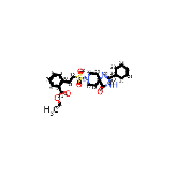 CCOC(=O)c1ccccc1CCS(=O)(=O)N1CCC2(CC1)N=C(C1CCCCC1)NC2=O